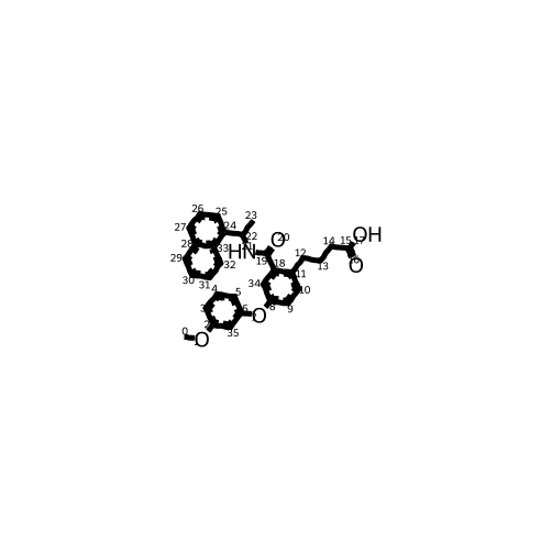 COc1cccc(Oc2ccc(CCCC(=O)O)c(C(=O)NC(C)c3cccc4ccccc34)c2)c1